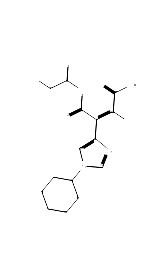 CCC(C)OC(=O)C(=C(O)C(=O)O)c1cn(C2CCCCC2)cn1